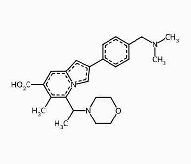 Cc1c(C(=O)O)cc2cc(-c3ccc(CN(C)C)cc3)cn2c1C(C)N1CCOCC1